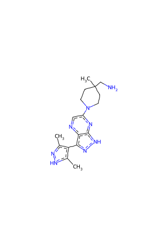 Cc1n[nH]c(C)c1-c1n[nH]c2nc(N3CCC(C)(CN)CC3)cnc12